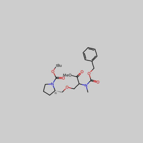 COC(=O)C(COC[C@@H]1CCCN1C(=O)OC(C)(C)C)N(C)C(=O)OCc1ccccc1